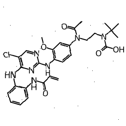 C=CC(=O)Nc1ccccc1Nc1nc(Nc2ccc(N(CCN(C(=O)O)C(C)(C)C)C(C)=O)cc2OC)ncc1Cl